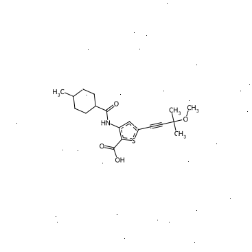 COC(C)(C)C#Cc1cc(NC(=O)C2CCC(C)CC2)c(C(=O)O)s1